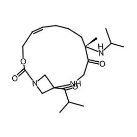 CC(C)N[C@@]1(C)CCCC=CCOC(=O)N2CC(C(=O)C(C)C)(C2)NCC1=O